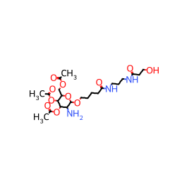 CC(=O)OCC1OC(OCCCCC(=O)NCCCNC(=O)CCO)C(N)C(OC(C)=O)C1OC(C)=O